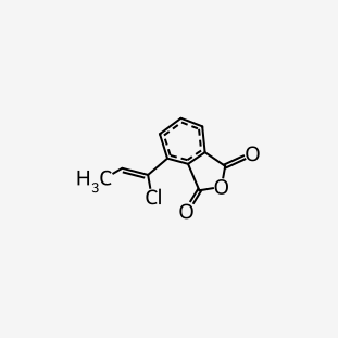 CC=C(Cl)c1cccc2c1C(=O)OC2=O